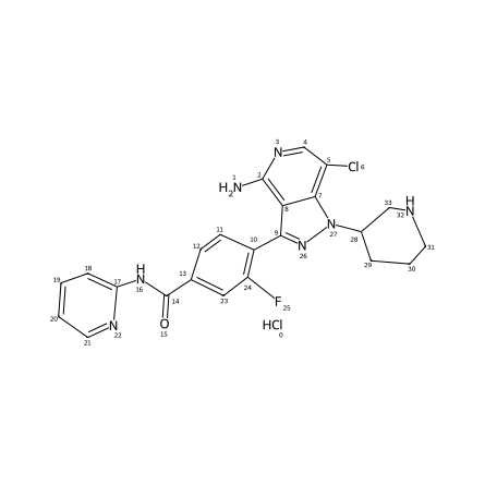 Cl.Nc1ncc(Cl)c2c1c(-c1ccc(C(=O)Nc3ccccn3)cc1F)nn2C1CCCNC1